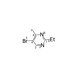 CCc1ncc(Br)c(C)n1